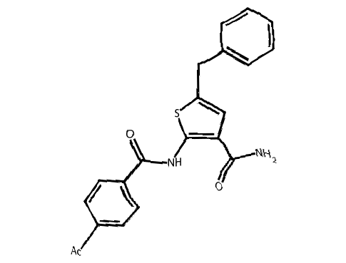 CC(=O)c1ccc(C(=O)Nc2sc(Cc3ccccc3)cc2C(N)=O)cc1